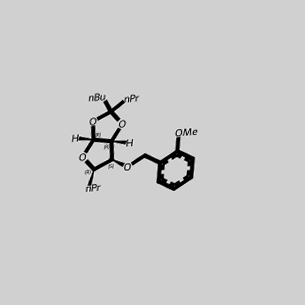 CCCCC1(CCC)O[C@H]2O[C@H](CCC)[C@H](OCc3ccccc3OC)[C@H]2O1